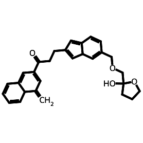 C=C1C=C(C(=O)CCC2=CC3C=C(COCC4(O)CCCO4)C=CC3=C2)C=C2C=CC=CC12